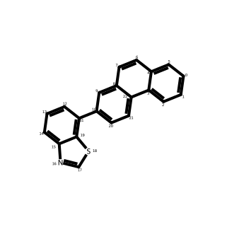 c1ccc2c(c1)ccc1cc(-c3cccc4ncsc34)ccc12